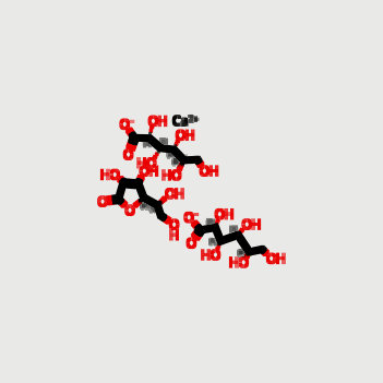 O=C([O-])[C@H](O)[C@@H](O)[C@H](O)[C@H](O)CO.O=C([O-])[C@H](O)[C@@H](O)[C@H](O)[C@H](O)CO.O=C1O[C@H]([C@@H](O)CO)C(O)=C1O.[Ca+2]